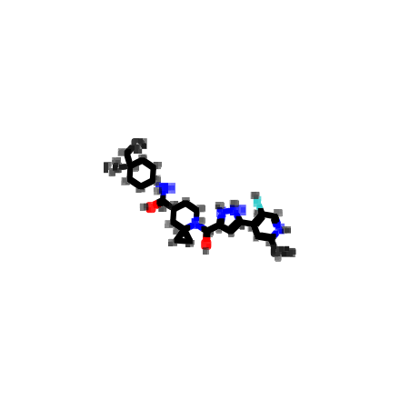 COc1cc(-c2cc(C(=O)N3CC[C@H](C(=O)N[C@H]4CC[C@](CC#N)(C(F)(F)F)CC4)CC34CC4)n[nH]2)c(F)cn1